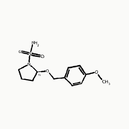 COc1ccc(CO[C@H]2CCCN2S(N)(=O)=O)cc1